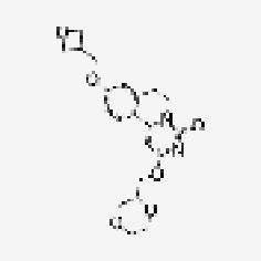 O=c1nc(OCC2COCCO2)cc2n1CCc1cc(OCC3COC3)ccc1-2